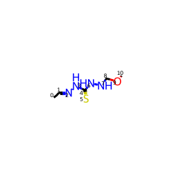 CC=NNC(=S)NNCOC